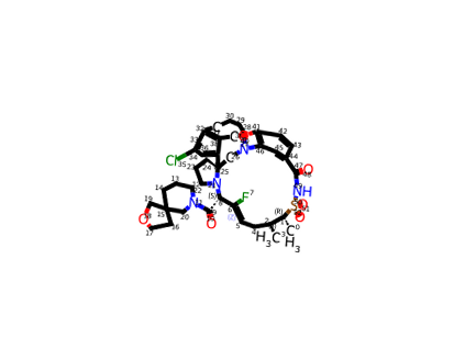 C[C@@H]1[C@@H](C)C/C=C(\F)[C@H](C(=O)N2CCCC3(CCOC3)C2)N2CCC[C@@]23CN2CCCCc4cc(Cl)cc3c4COc3ccc(cc32)C(=O)NS1(=O)=O